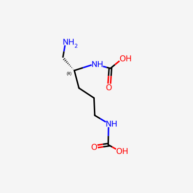 NC[C@@H](CCCNC(=O)O)NC(=O)O